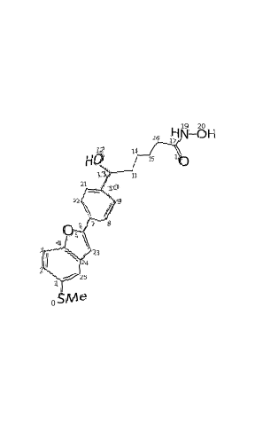 CSc1ccc2oc(-c3ccc(C(O)CCCCC(=O)NO)cc3)cc2c1